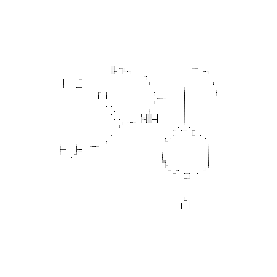 CC(C)CC(NC(=O)CN)C1(c2ccc(Cl)cc2)CCC1.Cl